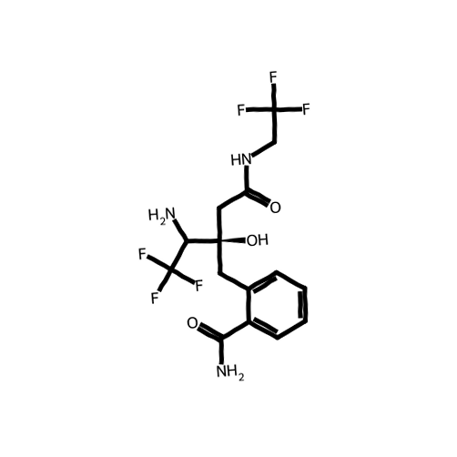 NC(=O)c1ccccc1C[C@@](O)(CC(=O)NCC(F)(F)F)C(N)C(F)(F)F